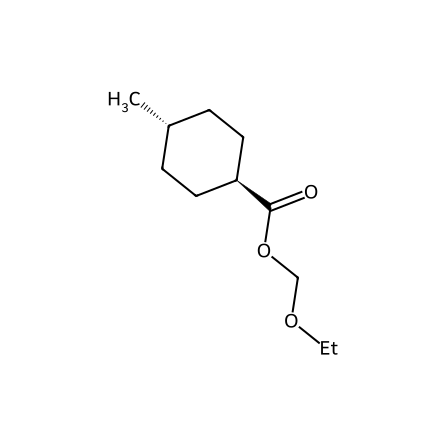 CCOCOC(=O)[C@H]1CC[C@H](C)CC1